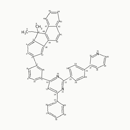 CC1(C)c2ccc(-c3cccc(-c4cc(-c5ccccc5)nc(-c5ccc(-c6cccnc6)cc5)n4)c3)cc2-c2ccc3ccccc3c21